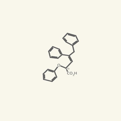 O=C(O)[C@H](C=C(Cc1ccccc1)c1ccccc1)Oc1ccccc1